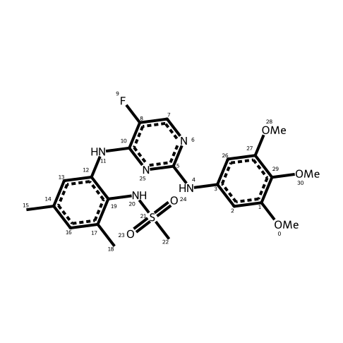 COc1cc(Nc2ncc(F)c(Nc3cc(C)cc(C)c3NS(C)(=O)=O)n2)cc(OC)c1OC